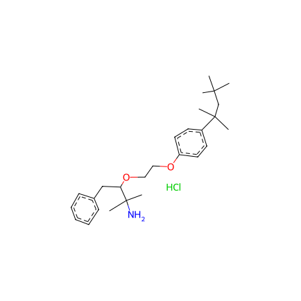 CC(C)(C)CC(C)(C)c1ccc(OCCOC(Cc2ccccc2)C(C)(C)N)cc1.Cl